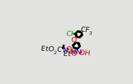 CCOC(=O)C(C)=NOP(=O)(CC)c1cc(Oc2ccc(C(F)(F)F)cc2Cl)ccc1NO